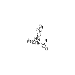 CN1CCCC1C(=O)N(C)C1CCN(c2nc(NCc3ccc(Cl)cc3C#N)c3cnn(CC(F)(F)F)c3n2)CC1